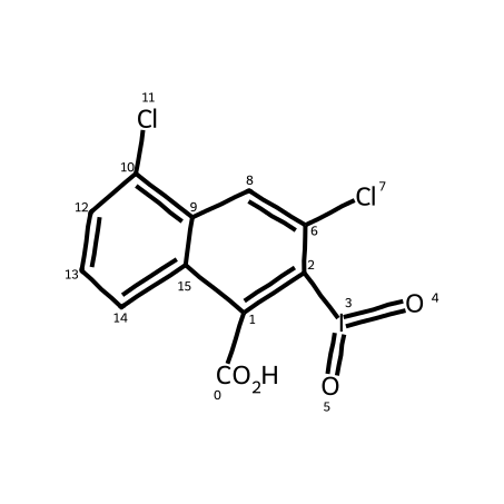 O=C(O)c1c(I(=O)=O)c(Cl)cc2c(Cl)cccc12